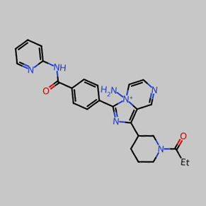 CCC(=O)N1CCCC(C2=C3C=NC=C[N+]3(N)C(c3ccc(C(=O)Nc4ccccn4)cc3)=N2)C1